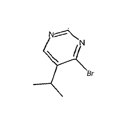 CC(C)c1cn[c]nc1Br